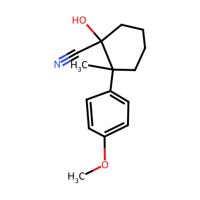 COc1ccc(C2(C)CCCCC2(O)C#N)cc1